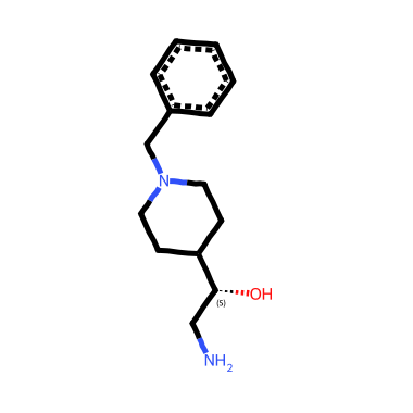 NC[C@@H](O)C1CCN(Cc2ccccc2)CC1